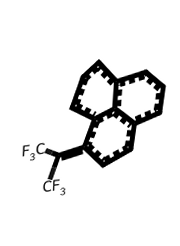 FC(F)(F)C(=c1ccc2cccc3cccc1c32)C(F)(F)F